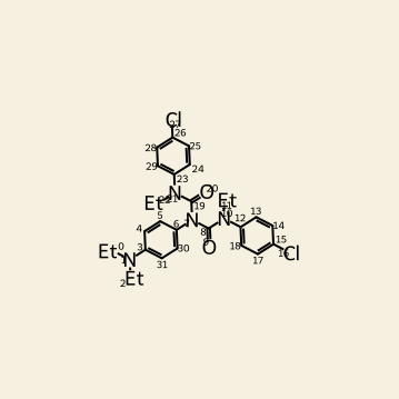 CCN(CC)c1ccc(N(C(=O)N(CC)c2ccc(Cl)cc2)C(=O)N(CC)c2ccc(Cl)cc2)cc1